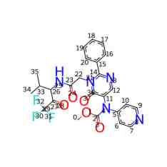 COC(=O)N(c1ccncc1)c1cnc(-c2ccccc2)n(CC(=O)NC(C(=O)C(F)(F)F)C(C)C)c1=O